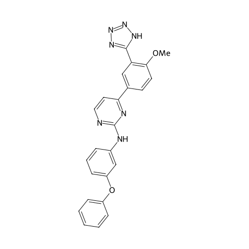 COc1ccc(-c2ccnc(Nc3cccc(Oc4ccccc4)c3)n2)cc1-c1nnn[nH]1